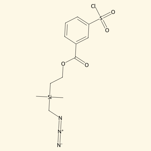 C[Si](C)(CCOC(=O)c1cccc(S(=O)(=O)Cl)c1)CN=[N+]=[N-]